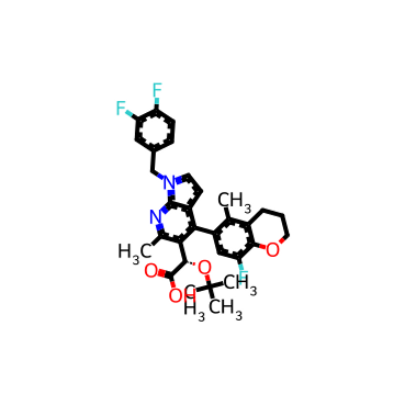 Cc1nc2c(ccn2Cc2ccc(F)c(F)c2)c(-c2cc(F)c3c(c2C)CCCO3)c1[C@H](OC(C)(C)C)C(=O)O